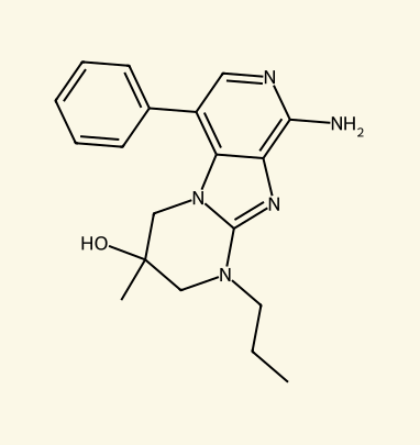 CCCN1CC(C)(O)Cn2c1nc1c(N)ncc(-c3ccccc3)c12